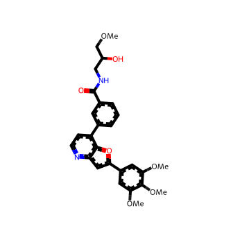 COCC(O)CNC(=O)c1cccc(-c2ccnc3cc(-c4cc(OC)c(OC)c(OC)c4)oc23)c1